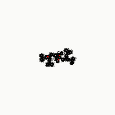 O=P1(c2ccccc2)c2cc(-c3cccc(-n4c5ccc(-n6c7ccccc7c7ccccc76)cc5c5cc(-n6c7ccccc7c7ccccc76)ccc54)c3)cc3c2-c2c1cc(-c1cccc(-n4c5ccc(-n6c7ccccc7c7ccccc76)cc5c5cc(-n6c7ccccc7c7ccccc76)ccc54)c1)cc2P3(=O)c1ccccc1